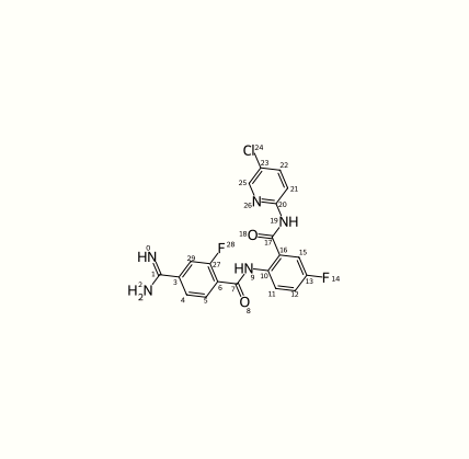 N=C(N)c1ccc(C(=O)Nc2ccc(F)cc2C(=O)Nc2ccc(Cl)cn2)c(F)c1